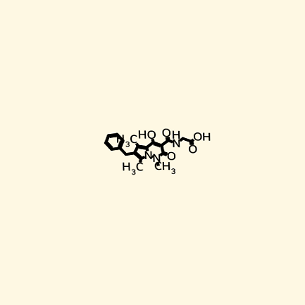 Cc1c(Cc2ccccc2)c(C)n2c1c(O)c(C(=O)NCC(=O)O)c(=O)n2C